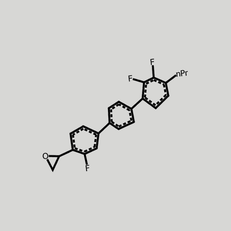 CCCc1ccc(-c2ccc(-c3ccc(C4CO4)c(F)c3)cc2)c(F)c1F